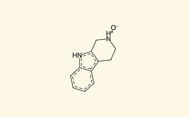 [O-][NH+]1CCc2c([nH]c3ccccc23)C1